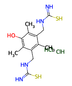 Cc1c(O)c(C)c(CNC(=N)S)c(C)c1CNC(=N)S.Cl.Cl